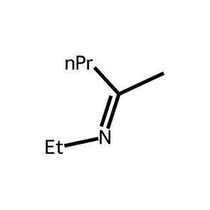 C[CH]C/C(C)=N\CC